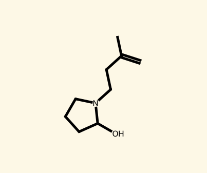 C=C(C)CCN1CCCC1O